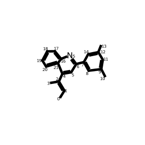 C/C=C(\C)c1cc(-c2cc(C)cc(C)c2)nc2ccccc12